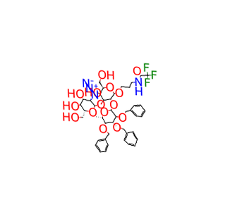 C[C@@H]1O[C@@H](O[C@H]2[C@H](OCCCNC(=O)C(F)(F)F)O[C@H](CO)[C@H](O)[C@@H]2O[C@H]2O[C@H](CO)[C@@H](O)[C@H](O)[C@H]2N=[N+]=[N-])[C@@H](OCc2ccccc2)[C@H](OCc2ccccc2)[C@@H]1OCc1ccccc1